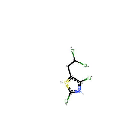 Clc1nc(Cl)c(CC(Cl)Cl)s1